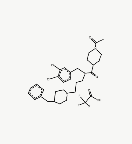 CC(=O)N1CCC(C(=O)N(CCCN2CCC(Cc3ccccc3)CC2)Cc2ccc(Cl)c(Cl)c2)CC1.O=C(O)C(F)(F)F